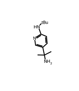 CC(C)(C)Nc1ccc(C(C)(C)N)cn1